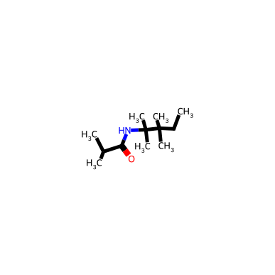 CCC(C)(C)C(C)(C)NC(=O)C(C)C